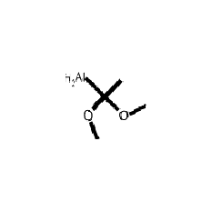 CO[C](C)([AlH2])OC